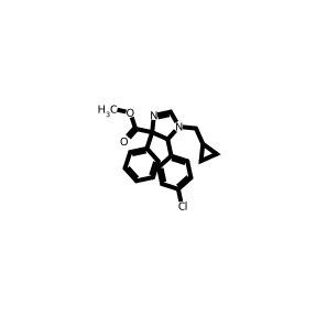 COC(=O)C1(c2ccccc2)N=CN(CC2CC2)C1c1ccc(Cl)cc1